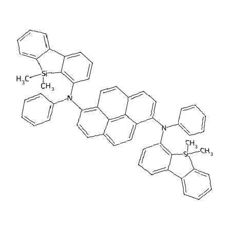 C[Si]1(C)c2ccccc2-c2cccc(N(c3ccccc3)c3ccc4ccc5c(N(c6ccccc6)c6cccc7c6[Si](C)(C)c6ccccc6-7)ccc6ccc3c4c65)c21